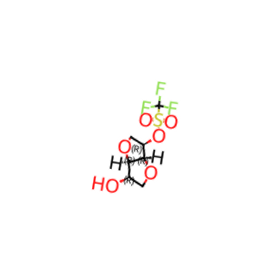 O=S(=O)(O[C@@H]1CO[C@H]2[C@H]1OC[C@H]2O)C(F)(F)F